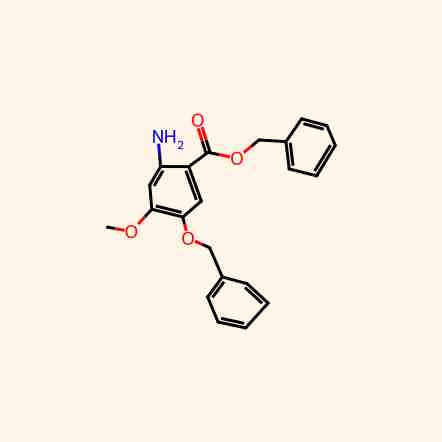 COc1cc(N)c(C(=O)OCc2ccccc2)cc1OCc1ccccc1